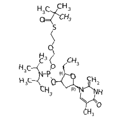 C=C1NC(=O)C(C)=CN1[C@H]1CC(OP(OCCOCCSC(=O)C(C)(C)C)N(C(C)C)C(C)C)[C@@H](CC)O1